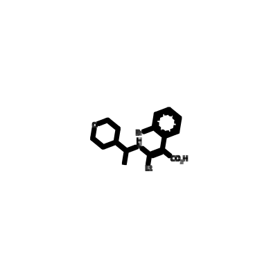 CC/C(NC(C)C1CCOCC1)=C(\C(=O)O)c1ccccc1Br